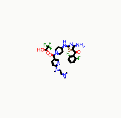 CN(C)CCN(C)c1ccc(C(=O)N2CCC(Nc3nc(N)c(C(=O)c4c(F)cccc4F)s3)CC2)cn1.O=C(O)C(F)(F)F